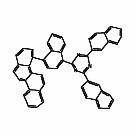 c1ccc2cc(-c3nc(-c4ccc5ccccc5c4)nc(-c4ccc(-c5cccc6ccc7c8ccccc8ccc7c56)c5ccccc45)n3)ccc2c1